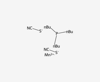 CCCCP(CCCC)CCCC.N#C[S-].N#C[S-].[Mn+2]